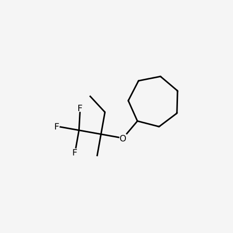 CCC(C)(OC1CCCCCC1)C(F)(F)F